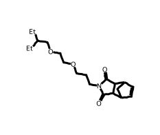 CCC(CC)COCCOCCCN1C(=O)C2C3C=CC(C3)C2C1=O